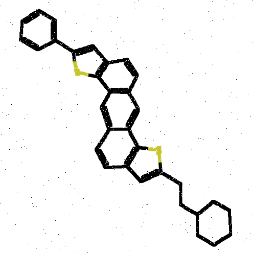 c1ccc(-c2cc3ccc4cc5c(ccc6cc(CCC7CCCCC7)sc65)cc4c3s2)cc1